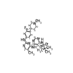 Cc1cnc(Nc2ccc(C3CCN(C)CC3)c(F)c2)nc1Nc1cc(NS(=O)(=O)C(C)(C)C)ncn1